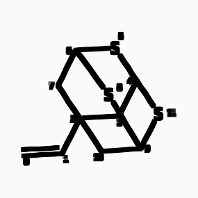 C=CC12CC3SC(C1)SC(C2)S3